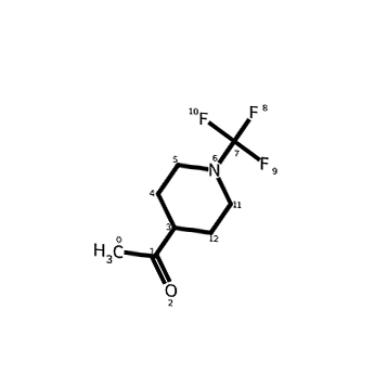 CC(=O)C1CCN(C(F)(F)F)CC1